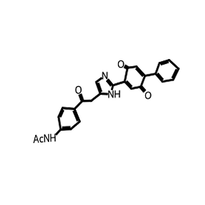 CC(=O)Nc1ccc(C(=O)Cc2cnc(C3=CC(=O)C(c4ccccc4)=CC3=O)[nH]2)cc1